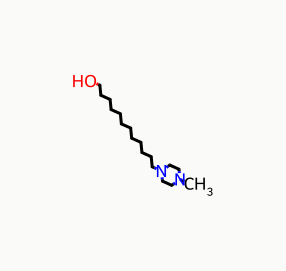 CN1CCN(CCCCCCCCCCCCO)CC1